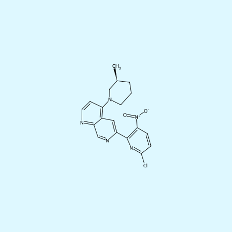 C[C@H]1CCCN(c2ccnc3cnc(-c4nc(Cl)ccc4[N+](=O)[O-])cc23)C1